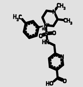 Cc1cccc([N@+]2(S(=O)(=O)NCc3ccc(C(=O)O)cn3)CCN(C)C(C)C2)c1